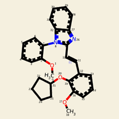 COc1ccccc1-n1c(/C=C/c2cccc(OC)c2OC2CCCC2)nc2ccccc21